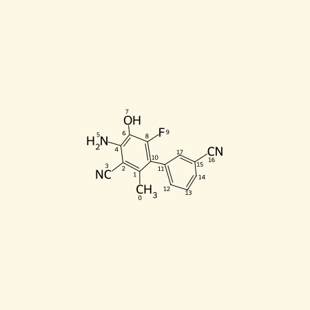 Cc1c(C#N)c(N)c(O)c(F)c1-c1cccc(C#N)c1